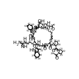 CC(=O)N[C@H]1CCSSC[C@@H](C(=O)N2CCC[C@H]2C(=O)N2CCC[C@H]2C(C)=O)NC(=O)[C@H](Cc2c[nH]c3ccccc23)NC(=O)[C@H](CCCNC(=N)N)NC(=O)[C@@H](Cc2ccccc2)NC(=O)[C@@H]2C[C@@H](O)CN2C1=O